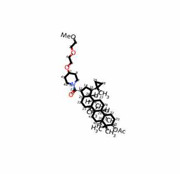 COCCOCCOC1CCN(C(=O)[C@@H]2C[C@@H](C3(C)CC3)[C@H]3C2CC[C@]2(C)[C@@H]3CC[C@@H]3[C@@]4(C)CC[C@H](OC(C)=O)C(C)(C)[C@@H]4CC[C@]32C)CC1